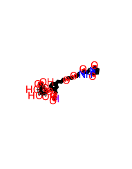 O=C(CCN1C(=O)C=CC1=O)NCCOCCOCCCc1ccc(OC2O[C@H](C(=O)O)[C@@H](O)[C@H](O)[C@H]2O)c(COC(=O)I)c1